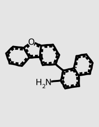 Nc1ccc2ccccc2c1-c1ccc2oc3ccccc3c2c1